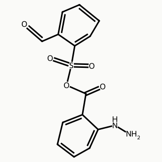 NNc1ccccc1C(=O)OS(=O)(=O)c1ccccc1C=O